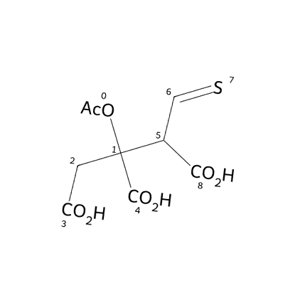 CC(=O)OC(CC(=O)O)(C(=O)O)C(C=S)C(=O)O